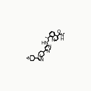 CNC(=O)c1ccnc2c([C@H](C)CNc3cc(C4CCn5c(C6CCN(C)CC6)cnc5C4)ncn3)cccc12